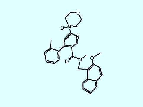 COc1ccc2ccccc2c1CN(C)C(=O)c1cnc([N+]2([O-])CCOCC2)cc1-c1ccccc1C